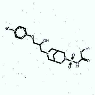 CCCSC(=O)NS(=O)(=O)N1CC2CC(CN(CC(O)COc3ccc(C#N)cc3)C2)C1